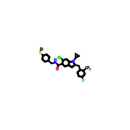 CCSc1ccc(CNC(=O)c2cc3cc(Cc4ccc(F)cc4C(F)(F)F)n(C4CC4)c3cc2Cl)cc1